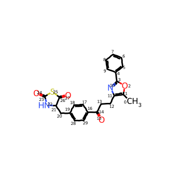 Cc1oc(-c2ccccc2)nc1CCC(=O)c1ccc(CC2NC(=O)SC2=O)cc1